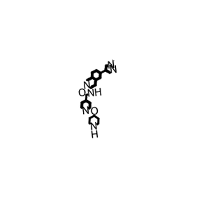 Cn1cc(-c2ccc3cnc(NC(=O)c4ccnc(OC5CCNCC5)c4)cc3c2)cn1